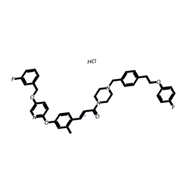 Cc1cc(Oc2ccc(OCc3cccc(F)c3)cn2)ccc1/C=C/C(=O)N1CCN(Cc2ccc(CCOc3ccc(F)cc3)cc2)CC1.Cl